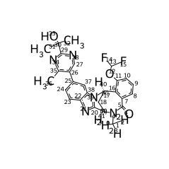 [2H]C([2H])([2H])N1C(=O)c2cccc(OC(F)F)c2[C@H]2C[C@@H]1c1nc3ccc(-c4cnc(C(C)(C)O)nc4C)cc3n12